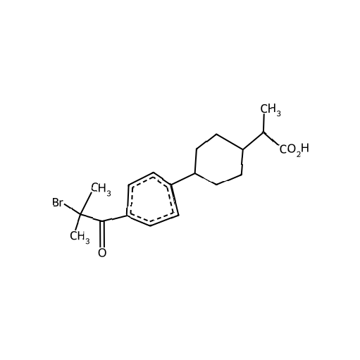 CC(C(=O)O)C1CCC(c2ccc(C(=O)C(C)(C)Br)cc2)CC1